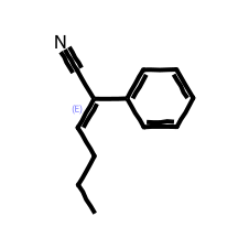 CCC/C=C(/C#N)c1ccccc1